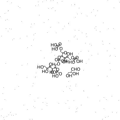 O=C(COP(=O)(O)O)[C@@H](OP(=O)(O)OC[C@@H](OP(=O)(O)O)C(=O)[C@H](O)[C@H](O)CO)[C@H](O)[C@H](O)COP(=O)(O)O.O=CC(O)CO